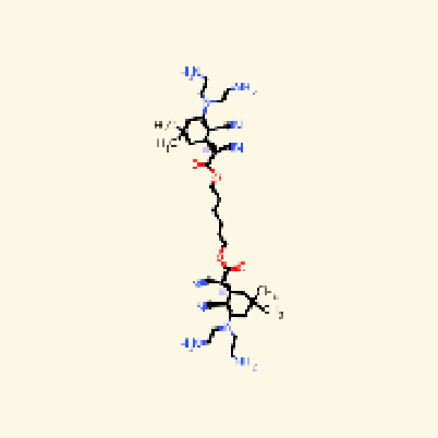 CC1(C)CC(N(CCN)CCN)=C(C#N)/C(=C(\C#N)C(=O)OCCCCCCOC(=O)/C(C#N)=C2\CC(C)(C)CC(N(CCN)CCN)=C2C#N)C1